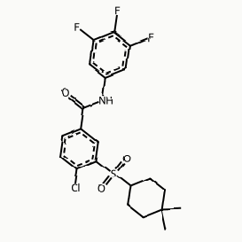 CC1(C)CCC(S(=O)(=O)c2cc(C(=O)Nc3cc(F)c(F)c(F)c3)ccc2Cl)CC1